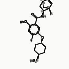 CCOC(=O)[C@H]1CC[C@@H](Oc2cc(C(=O)N[C@H]3C[C@H]4C=C[C@H]3C4)c(OC)cc2F)CC1